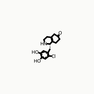 O=C1CCC2=C(CCN[C@H]2Cc2cc(O)c(O)cc2Cl)C1